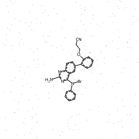 N#CCCOc1ccccc1-c1ccc2nc(N)nc(N(Br)c3ccccc3)c2c1